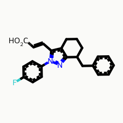 O=C(O)/C=C/c1c2c(nn1-c1ccc(F)cc1)C(Cc1ccccc1)CCC2